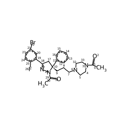 CC(=O)N1CCN(CCC[C@]2(c3ccccc3)CC(c3cc(Br)ccc3F)=NN2C(C)=O)CC1